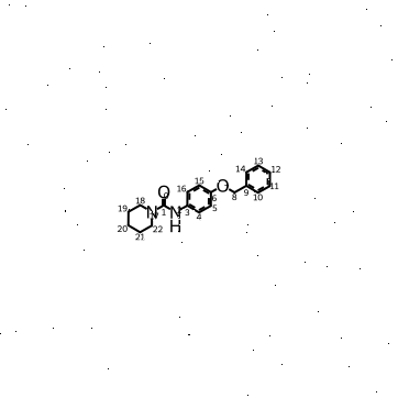 O=C(Nc1ccc(OCc2ccccc2)cc1)N1CCCCC1